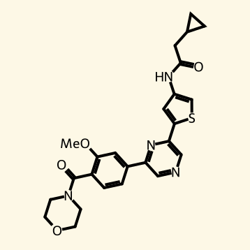 COc1cc(-c2cncc(-c3cc(NC(=O)CC4CC4)cs3)n2)ccc1C(=O)N1CCOCC1